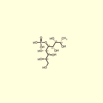 C[C@H](O)[C@@H](O)[C@H](O)[C@H](OP(=O)(O)O)[C@@H](O)[C@@H](O)[C@H](O)CO